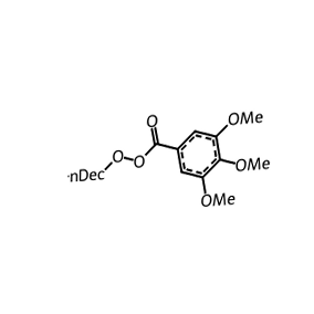 [CH2]CCCCCCCC[CH]OOC(=O)c1cc(OC)c(OC)c(OC)c1